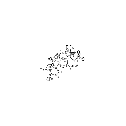 CCOP(=O)(O)C(Oc1ccc([N+](=O)[O-])c(C(F)(F)F)c1)(c1ccc(F)cc1)c1ccc(Cl)cc1